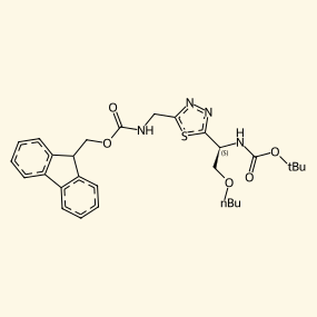 CCCCOC[C@H](NC(=O)OC(C)(C)C)c1nnc(CNC(=O)OCC2c3ccccc3-c3ccccc32)s1